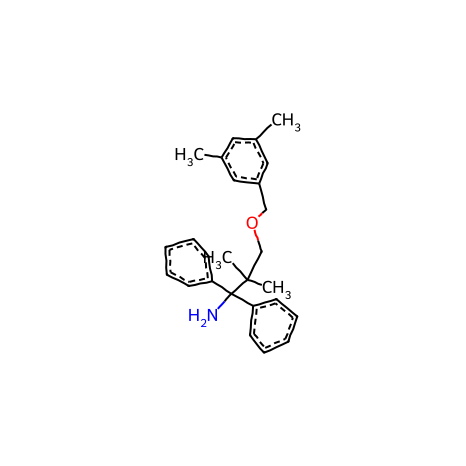 Cc1cc(C)cc(COCC(C)(C)C(N)(c2ccccc2)c2ccccc2)c1